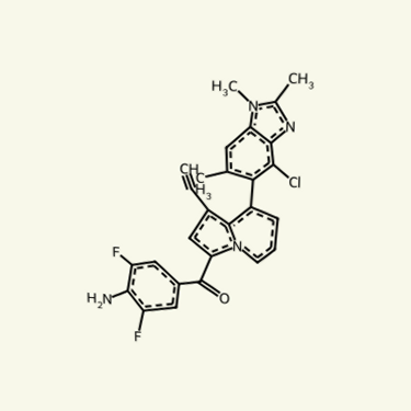 C#Cc1cc(C(=O)c2cc(F)c(N)c(F)c2)n2cccc(-c3c(C)cc4c(nc(C)n4C)c3Cl)c12